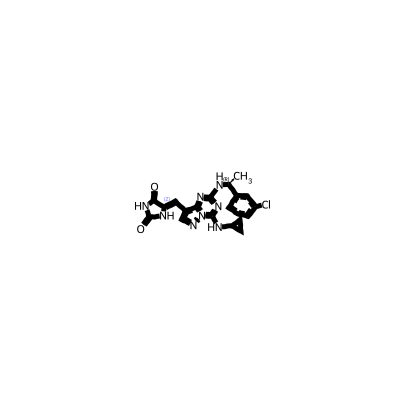 C[C@@H](Nc1nc(NC2CC2)n2ncc(/C=C3\NC(=O)NC3=O)c2n1)c1cccc(Cl)c1